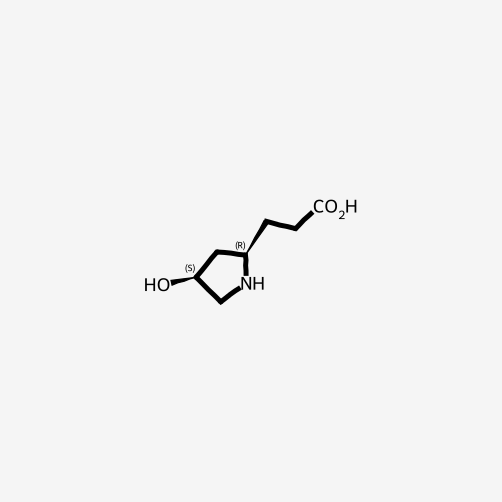 O=C(O)CC[C@@H]1C[C@H](O)CN1